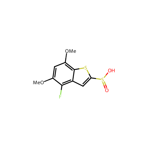 COc1cc(OC)c2sc(S(=O)O)cc2c1F